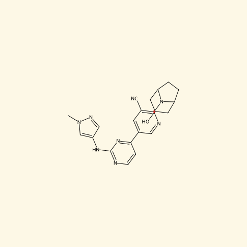 Cn1cc(Nc2nccc(-c3cnc(N4C5CCC4CC(O)C5)c(C#N)c3)n2)cn1